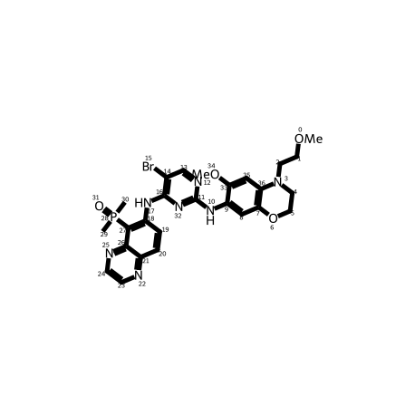 COCCN1CCOc2cc(Nc3ncc(Br)c(Nc4ccc5nccnc5c4P(C)(C)=O)n3)c(OC)cc21